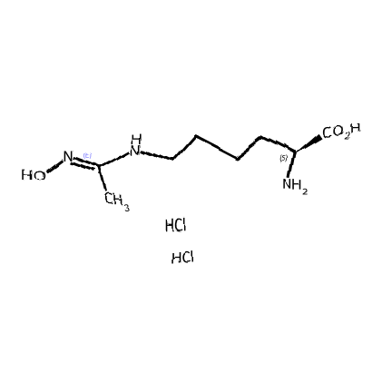 C/C(=N\O)NCCCC[C@H](N)C(=O)O.Cl.Cl